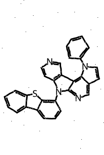 c1ccc(-n2ccc3cnc4c(c5cnccc5n4-c4cccc5c4sc4ccccc45)c32)cc1